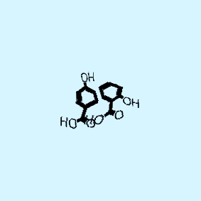 O=C(O)c1ccc(O)cc1.O=C(O)c1ccccc1O